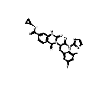 O=C(NC1CC1)c1ccc2c(=O)n(C(Cc3cc(F)cc(F)c3)C(=O)Nc3nccs3)c(=O)[nH]c2c1